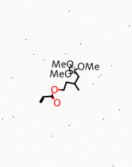 C=CC(=O)OCCC(C)C[Si](OC)(OC)OC